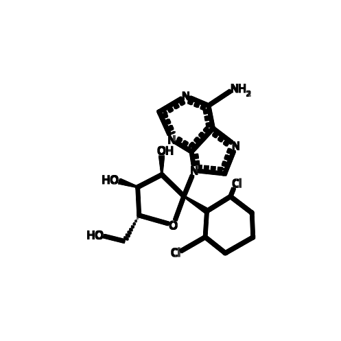 Nc1ncnc2c1ncn2[C@]1(C2C(Cl)CCCC2Cl)O[C@H](CO)[C@@H](O)[C@H]1O